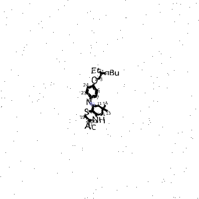 CCCCC(CC)COc1ccc(/N=C2\CC(C)(C)CC3=C2SCC(C(C)=O)N3)cc1